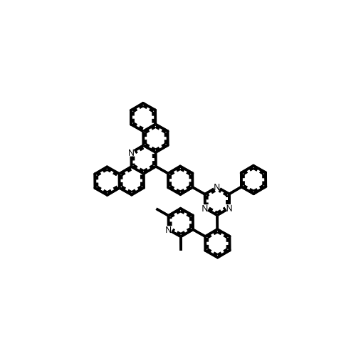 Cc1ccc(-c2ccccc2-c2nc(-c3ccccc3)nc(-c3ccc(-c4c5ccc6ccccc6c5nc5c4ccc4ccccc45)cc3)n2)c(C)n1